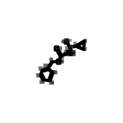 O=C(N[S+]([O-])C1CC1)OCc1ccccc1